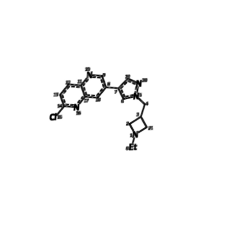 CCN1CC(Cn2cc(-c3cnc4ccc(Cl)nc4c3)cn2)C1